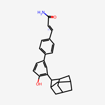 NC(=O)/C=C/c1ccc(-c2ccc(O)c(C3C4CC5CC(C4)CC3C5)c2)cc1